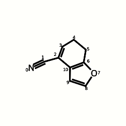 N#CC1=CCCc2occc21